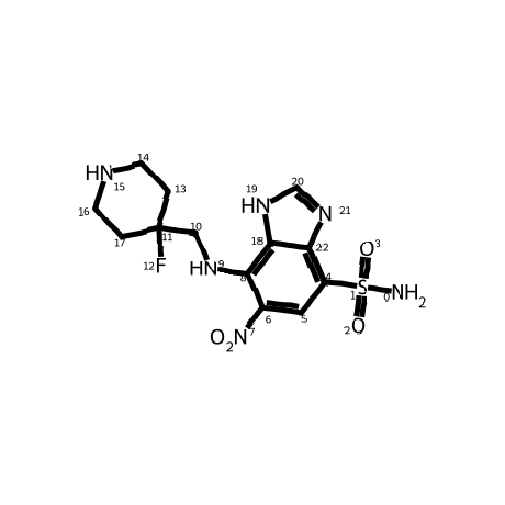 NS(=O)(=O)c1cc([N+](=O)[O-])c(NCC2(F)CCNCC2)c2[nH]cnc12